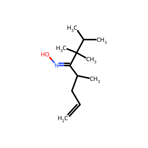 C=CCC(C)/C(=N/O)C(C)(C)C(C)C